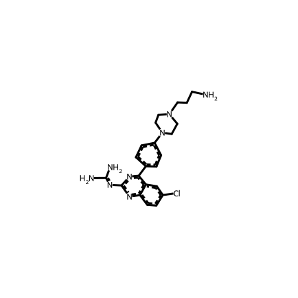 NCCCN1CCN(c2ccc(-c3nc(N=C(N)N)nc4ccc(Cl)cc34)cc2)CC1